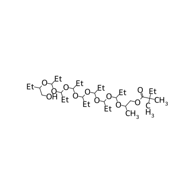 CCC(CO)OC(CC)OC(CC)OC(CC)OC(CC)OC(CC)OC(CC)OC(CC)OC(C)COC(=O)C(C)(C)CC